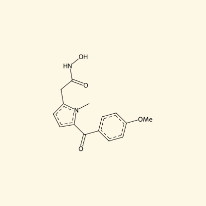 COc1ccc(C(=O)c2ccc(CC(=O)NO)n2C)cc1